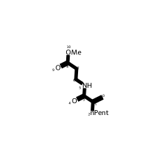 C=C(CCCCC)C(=O)NCCC(=O)OC